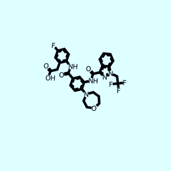 O=C(O)Cc1cc(F)ccc1NC(=O)c1ccc(N2CCCOCC2)c(NC(=O)c2nn(CC(F)(F)F)c3ccccc23)c1